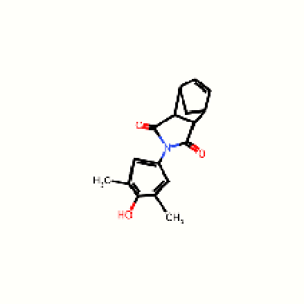 Cc1cc(N2C(=O)C3C4C=CC(C4)C3C2=O)cc(C)c1O